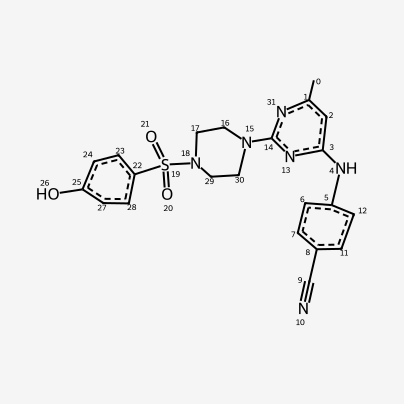 Cc1cc(Nc2ccc(C#N)cc2)nc(N2CCN(S(=O)(=O)c3ccc(O)cc3)CC2)n1